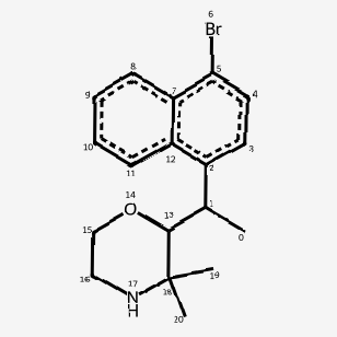 CC(c1ccc(Br)c2ccccc12)C1OCCNC1(C)C